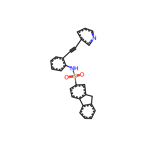 O=S(=O)(Nc1ccccc1C#Cc1cccnc1)c1ccc2c(c1)Cc1ccccc1-2